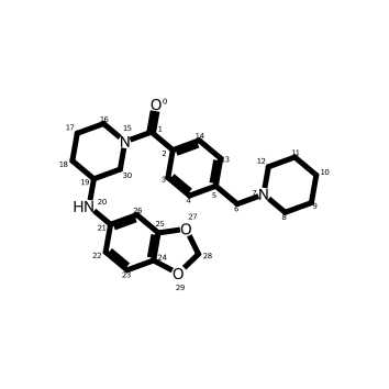 O=C(c1ccc(CN2CCCCC2)cc1)N1CCCC(Nc2ccc3c(c2)OCO3)C1